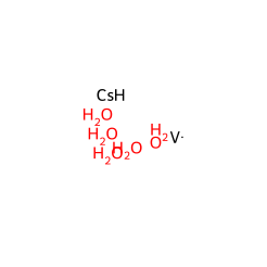 O.O.O.O.O.[CsH].[V]